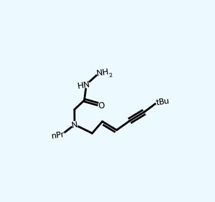 CCCN(CC=CC#CC(C)(C)C)CC(=O)NN